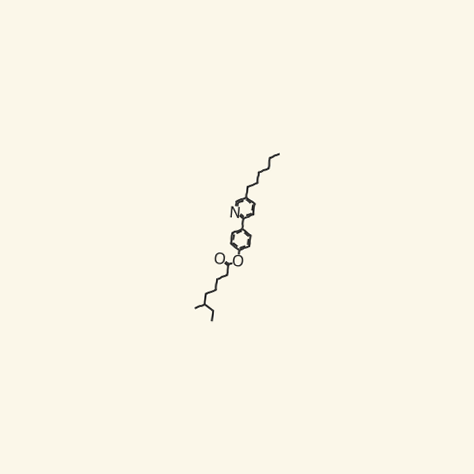 CCCCCCc1ccc(-c2ccc(OC(=O)CCCCC(C)CC)cc2)nc1